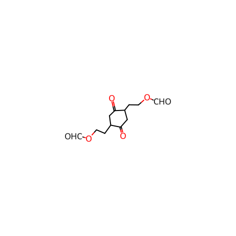 O=COCCC1CC(=O)C(CCOC=O)CC1=O